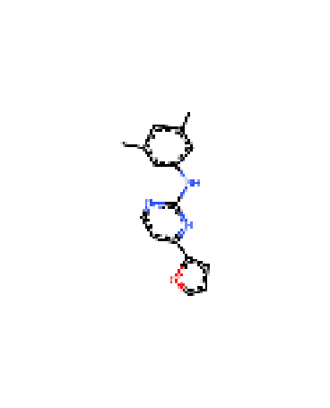 Cc1cc(C)cc(Nc2nccc(-c3ccco3)n2)c1